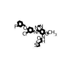 COc1cc2ncnc(Nc3ccc(OCc4cccc(F)c4)c(Cl)c3)c2cc1NC(=O)CC1CCSS1